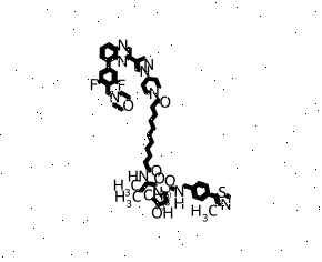 Cc1ncsc1-c1ccc(CNC(=O)[C@@H]2C[C@@H](O)CN2C(=O)C(NC(=O)CCCCCCCCCC(=O)N2CCC(n3cc(-c4cnc5cccc(-c6cc(F)c(CN7CCOCC7)c(F)c6)c5n4)cn3)CC2)C(C)(C)C)cc1